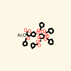 CC(=O)Oc1c(OCc2ccccc2)c2ccc(O[C@H]3O[C@H](COC(=O)c4ccccc4)[C@@H](OC(=O)c4ccccc4)[C@H](OC(=O)c4ccccc4)[C@@H]3OC(=O)c3ccccc3)cc2oc1=O